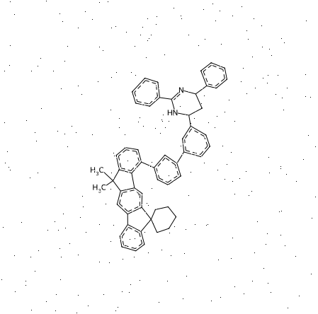 CC1(C)c2cc3c(cc2-c2c(-c4cccc(-c5cccc(C6CC(c7ccccc7)N=C(c7ccccc7)N6)c5)c4)cccc21)C1(CCCCC1)c1ccccc1-3